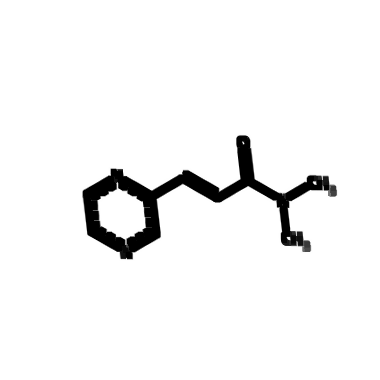 CN(C)C(=O)C=Cc1cnccn1